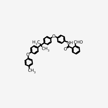 Cc1ccc(Oc2ccc(C(C)(C)c3ccc(Oc4ccc(NC(=O)c5ccccc5C=O)cc4)cc3)cc2)cc1